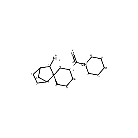 NC1C2CCC(C2)[C@]12CCC[C@@H](C(=O)N1CCCCC1)C2